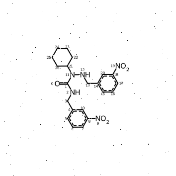 O=C(NCc1cccc([N+](=O)[O-])c1)N(NCc1cccc([N+](=O)[O-])c1)C1CCCCC1